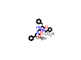 C[C@@H](CN(CC(=O)N[C@H](Cc1ccccc1)C(=O)N[C@@H](C(=O)O)C1CCCC1)C(=O)OC(C)(C)C)c1ccccc1